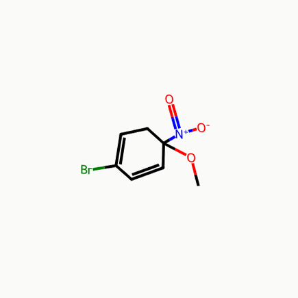 COC1([N+](=O)[O-])C=CC(Br)=CC1